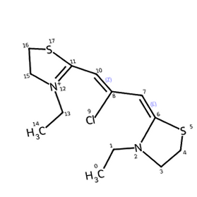 CCN1CCS/C1=C/C(Cl)=C/C1=[N+](CC)CCS1